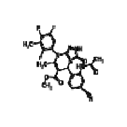 COC(=O)C1=C(C)N(c2cc(F)c(F)c(C)c2F)c2n[nH]c(=O)n2C1c1ccc(C#N)cc1NC(C)=O